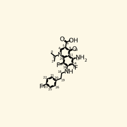 CC(C)n1cc(C(=O)O)c(=O)c2c(N)c(F)c(NCCc3ccc(F)cc3)c(F)c21